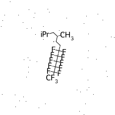 CC(C)CC(C)[CH]CC(F)(F)C(F)(F)C(F)(F)C(F)(F)C(F)(F)C(F)(F)F